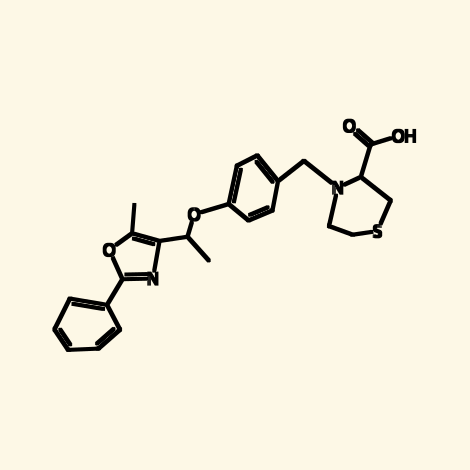 Cc1oc(-c2ccccc2)nc1C(C)Oc1ccc(CN2CCSCC2C(=O)O)cc1